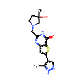 Cc1[nH]ncc1-c1cc2nc(CN3CCC(C)(O)C3)[nH]c(=O)c2s1